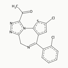 CC(=O)c1nnc2n1-c1sc(Cl)cc1C(c1ccccc1Cl)=NC2